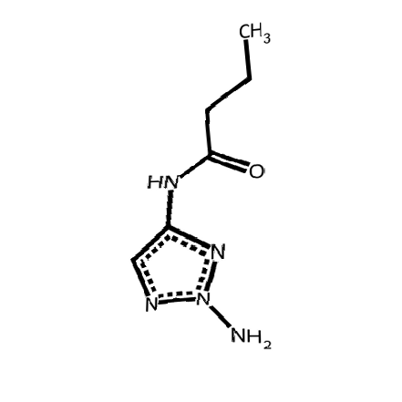 CCCC(=O)Nc1cnn(N)n1